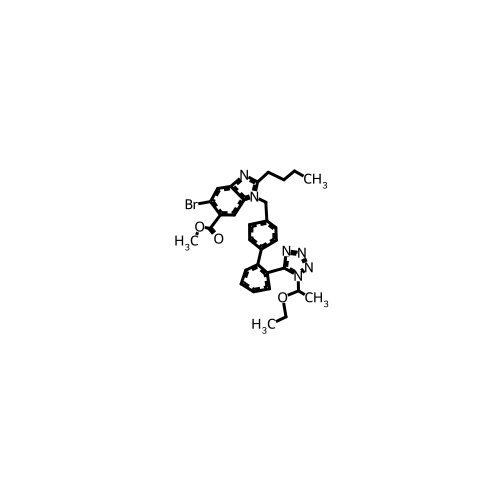 CCCCc1nc2cc(Br)c(C(=O)OC)cc2n1Cc1ccc(-c2ccccc2-c2nnnn2C(C)OCC)cc1